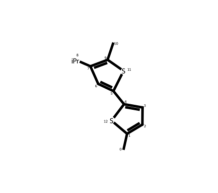 Cc1ccc(-c2cc(C(C)C)c(C)s2)s1